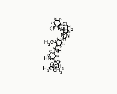 Cc1cc(-c2cnc(N)c(NCc3c(Cl)cccc3Cl)n2)ccc1CNC1CCN[C@@H](C(=O)OC(C)(C)C)C1